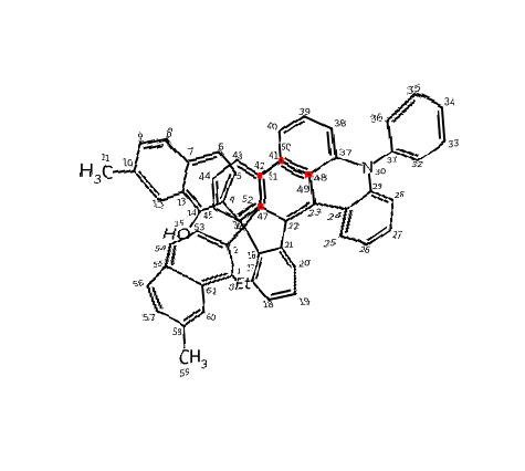 CCc1c(C2(c3ccc4ccc(C)cc4c3O)c3ccccc3-c3c(-c4ccccc4N(c4ccccc4)c4cccc(-c5ccccc5)c4)cccc32)ccc2ccc(C)cc12